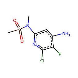 CN(c1cc(N)c(F)c(Cl)n1)S(C)(=O)=O